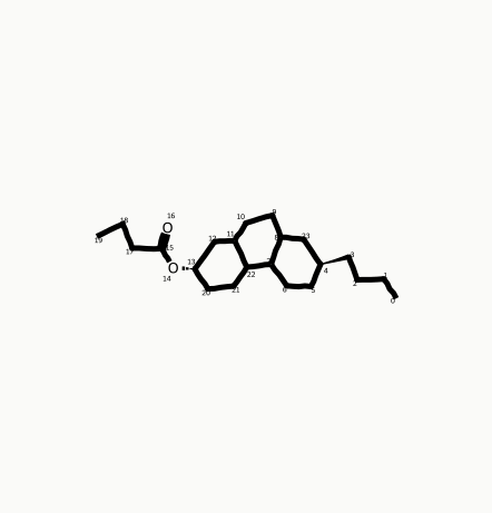 CCCC[C@H]1CCC2C(CCC3C[C@@H](OC(=O)CCC)CCC32)C1